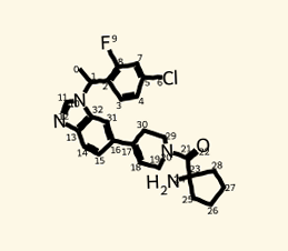 CC(c1ccc(Cl)cc1F)n1cnc2ccc(C3=CCN(C(=O)C4(N)CCCC4)CC3)cc21